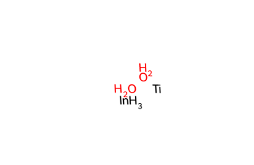 O.O.[InH3].[Ti]